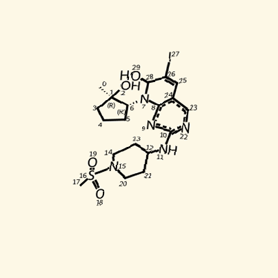 C[C@@]1(O)CCC[C@H]1N1c2nc(NC3CCN(S(C)(=O)=O)CC3)ncc2C=C(I)C1O